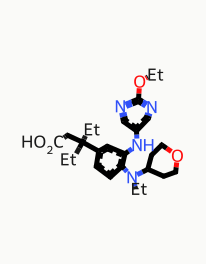 CCOc1ncc(Nc2cc(C(CC)(CC)CC(=O)O)ccc2N(CC)C2CCOCC2)cn1